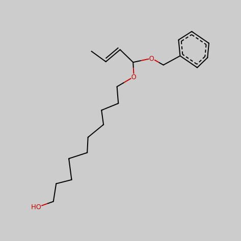 C/C=C/C(OCCCCCCCCCCO)OCc1ccccc1